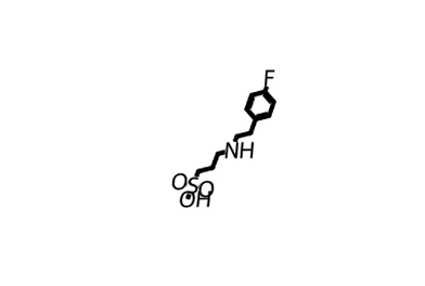 O=S(=O)(O)CCCNCCc1ccc(F)cc1